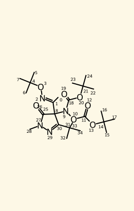 CC(=NOC(C)(C)C)C1(N(OC(=O)OC(C)(C)C)C(=O)OC(C)(C)C)C(=O)N(C)N=C1C(C)(C)C